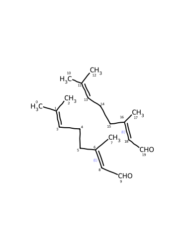 CC(C)=CCC/C(C)=C/C=O.CC(C)=CCC/C(C)=C/C=O